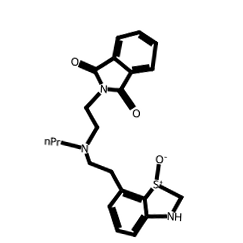 CCCN(CCc1cccc2c1[S+]([O-])CN2)CCN1C(=O)c2ccccc2C1=O